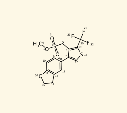 COS(=O)(=O)Cc1c(-c2ccc3c(c2)CCO3)csc1C(F)(F)F